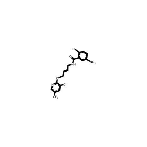 O=C(NC/C=C/COc1ncc(C(F)(F)F)cc1Cl)c1cc([N+](=O)[O-])ccc1Cl